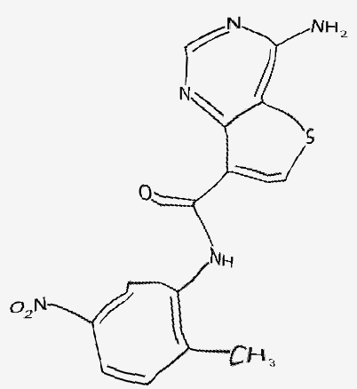 Cc1ccc([N+](=O)[O-])cc1NC(=O)c1csc2c(N)ncnc12